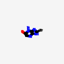 CC(C)c1nc2[nH]c(=O)cnc2[nH]1